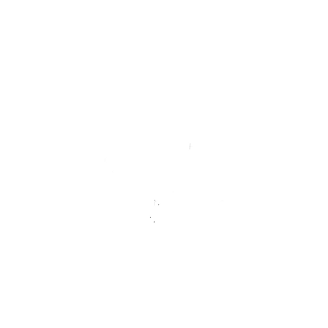 CC(C)(C)OC(=O)Cc1cnn(-c2cc(F)cc(F)c2)c1